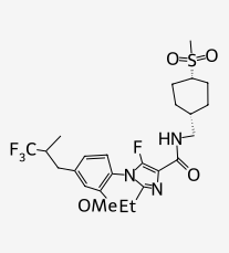 CCc1nc(C(=O)NC[C@H]2CC[C@@H](S(C)(=O)=O)CC2)c(F)n1-c1ccc(CC(C)C(F)(F)F)cc1OC